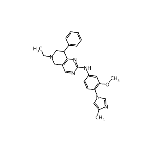 CCN1Cc2cnc(Nc3ccc(-n4cnc(C)c4)c(OC)c3)nc2C(c2ccccc2)C1